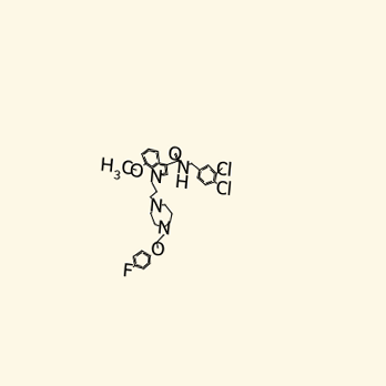 COc1cccc2c(C(=O)NCc3ccc(Cl)c(Cl)c3)cn(CCCN3CCCN(CCOc4ccc(F)cc4)CC3)c12